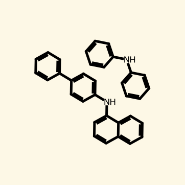 c1ccc(-c2ccc(Nc3cccc4ccccc34)cc2)cc1.c1ccc(Nc2ccccc2)cc1